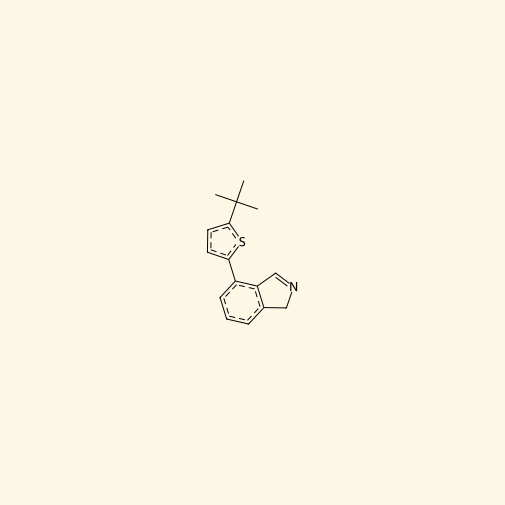 CC(C)(C)c1ccc(-c2cccc3c2C=NC3)s1